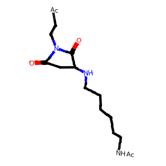 CC(=O)CCN1C(=O)CC(NCCCCCCNC(C)=O)C1=O